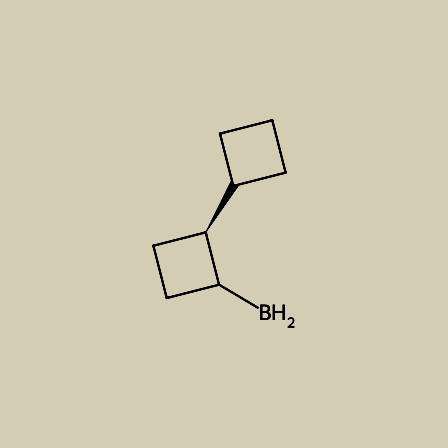 BC1CC[C@H]1C1CCC1